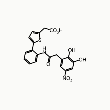 O=C(O)Cc1ccc(-c2ccccc2NC(=O)Cc2cc([N+](=O)[O-])cc(O)c2O)s1